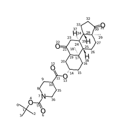 CC(C)(C)OC(=O)N1CCC(C(=O)O[C@H]2CC[C@@]3(C)C(C2)C(=O)C[C@@H]2[C@@H]3CC[C@]3(C)C(=O)CC[C@@H]23)CC1